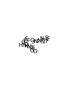 O=C(CC[C@@H]1C[C@H](Oc2ccccc2F)CN1c1cc(C(F)(F)F)c(=O)[nH]n1)N1CCN(c2ncc(C(F)(F)F)cn2)CC1